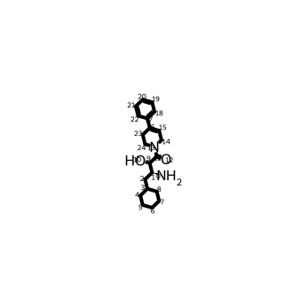 N[C@H](CC1CCCCC1)C(O)C(=O)N1CC=C(c2ccccc2)CC1